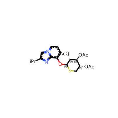 CC(=O)O[C@@H]1[C@@H](OC(C)=O)[C@H](OC(C)=O)CS[C@H]1Oc1cccn2cc(C(C)C)nc12